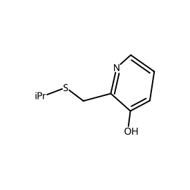 CC(C)SCc1ncccc1O